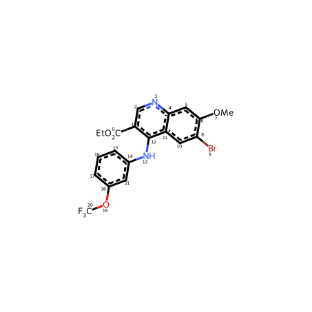 CCOC(=O)c1cnc2cc(OC)c(Br)cc2c1Nc1cccc(OC(F)(F)F)c1